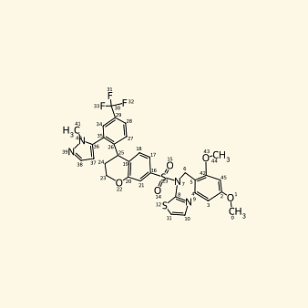 COc1ccc(CN(c2nccs2)S(=O)(=O)c2ccc3c(c2)OCCC3c2ccc(C(F)(F)F)cc2-c2ccnn2C)c(OC)c1